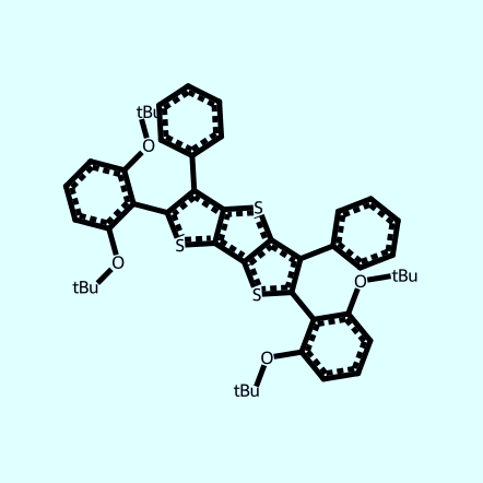 CC(C)(C)Oc1cccc(OC(C)(C)C)c1-c1sc2c(sc3c(-c4ccccc4)c(-c4c(OC(C)(C)C)cccc4OC(C)(C)C)sc32)c1-c1ccccc1